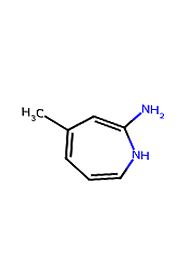 CC1=CC=CNC(N)=C1